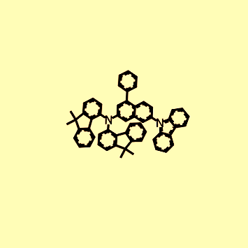 CC1(C)c2ccccc2-c2c(N(c3cc(-c4ccccc4)c4ccc(-n5c6ccccc6c6ccccc65)cc4c3)c3cccc4c3-c3ccccc3C4(C)C)cccc21